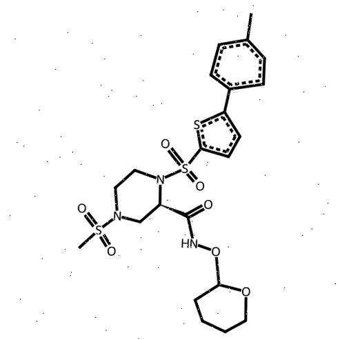 Cc1ccc(-c2ccc(S(=O)(=O)N3CCN(S(C)(=O)=O)C[C@@H]3C(=O)NOC3CCCCO3)s2)cc1